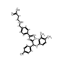 Cc1ccc(OC(c2ccc(Cl)cc2)c2nc(-c3ccc(CNCCC(=O)O)cc3)no2)cc1C